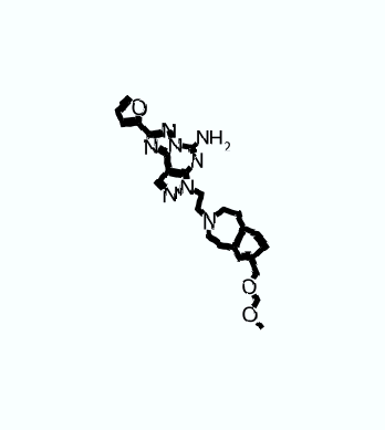 COCOCc1ccc2c(c1)CCN(CCn1ncc3c1nc(N)n1nc(-c4ccco4)nc31)CC2